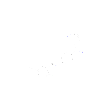 NC(c1cccnc1)C1CCC(NC(=O)c2cc(C(F)(F)F)ccc2Cl)CC1